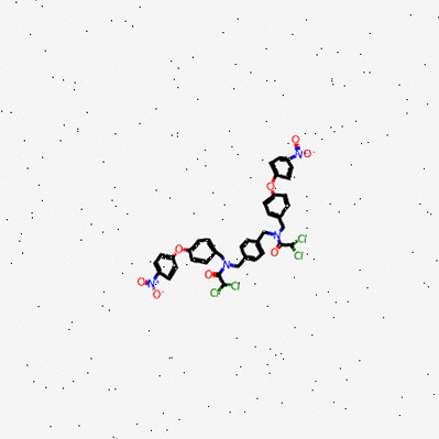 O=C(C(Cl)Cl)N(Cc1ccc(CN(Cc2ccc(Oc3ccc([N+](=O)[O-])cc3)cc2)C(=O)C(Cl)Cl)cc1)Cc1ccc(Oc2ccc([N+](=O)[O-])cc2)cc1